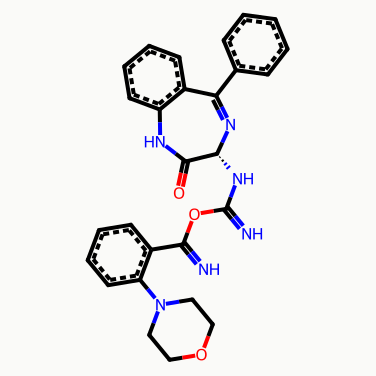 N=C(N[C@H]1N=C(c2ccccc2)c2ccccc2NC1=O)OC(=N)c1ccccc1N1CCOCC1